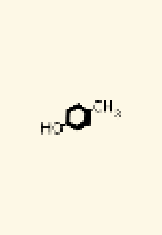 C[C@@H]1C=C[C@H](O)CC1